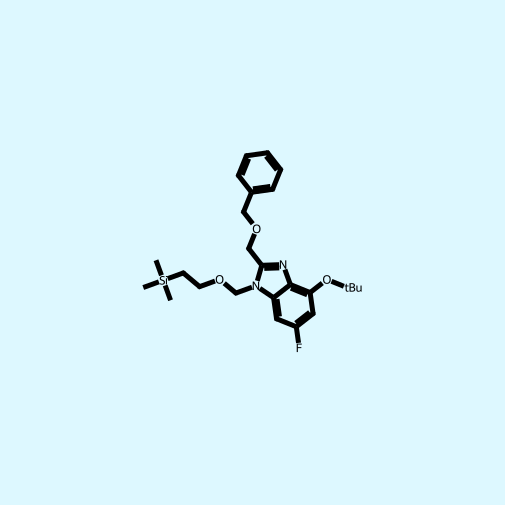 CC(C)(C)Oc1cc(F)cc2c1nc(COCc1ccccc1)n2COCC[Si](C)(C)C